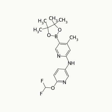 Cc1cc(Nc2ccc(OC(F)F)nc2)ncc1B1OC(C)(C)C(C)(C)O1